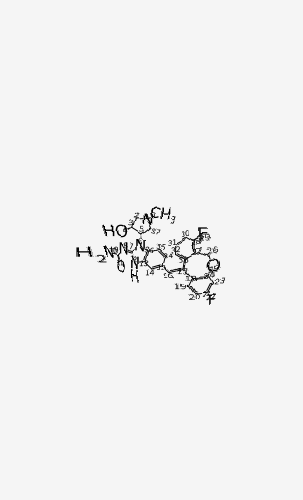 CN1C[C@H](O)[C@@H](n2/c(=N/C(N)=O)[nH]c3cc(/C=C4/c5ccc(F)cc5OCc5c(F)cccc54)ccc32)C1